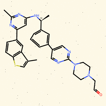 Cc1nc(N[C@@H](C)c2cccc(-c3cnc(N4CCN(CC=O)CC4)nc3)c2)cc(-c2ccc3scc(C)c3c2)n1